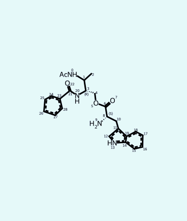 CC(=O)NC(C)[C@H](COC(=O)[C@@H](N)Cc1c[nH]c2ccccc12)NC(=O)c1ccccc1